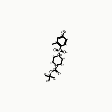 Cc1cc(Br)ccc1S(=O)(=O)N1CCN(C(=O)OC(C)(C)C)CC1